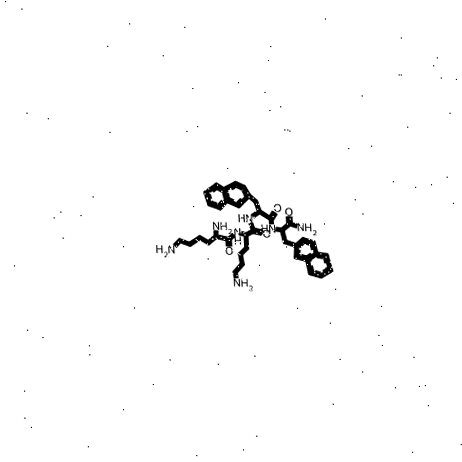 NCCCCC(N)C(=O)NC(CCCCN)C(=O)NC(Cc1ccc2ccccc2c1)C(=O)NC(Cc1ccc2ccccc2c1)C(N)=O